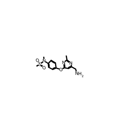 Cc1nc(CN)cc(Oc2ccc(N(C)S(C)(=O)=O)cc2)n1